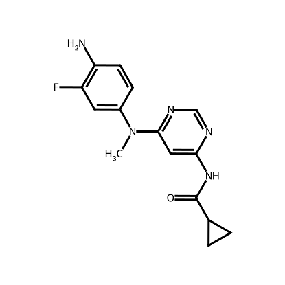 CN(c1ccc(N)c(F)c1)c1cc(NC(=O)C2CC2)ncn1